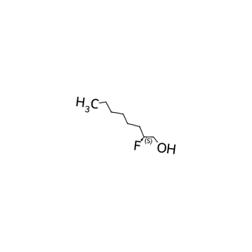 CCCCCC[C@H](F)CO